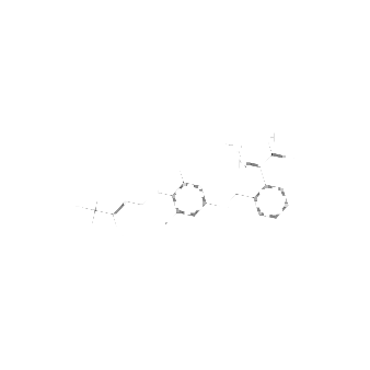 CON=C(C(=O)O)c1ccccc1COc1cc(Cl)c(OCC=C(Cl)C(F)(F)F)c(Cl)c1